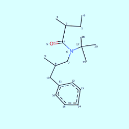 CCC(C)C(=O)N(CC(C)Cc1ccccc1)C(C)(C)C